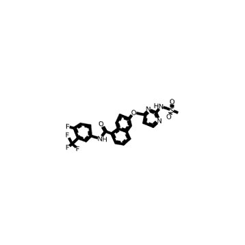 CS(=O)(=O)Nc1nccc(Oc2ccc3c(C(=O)Nc4ccc(F)c(C(F)(F)F)c4)cccc3c2)n1